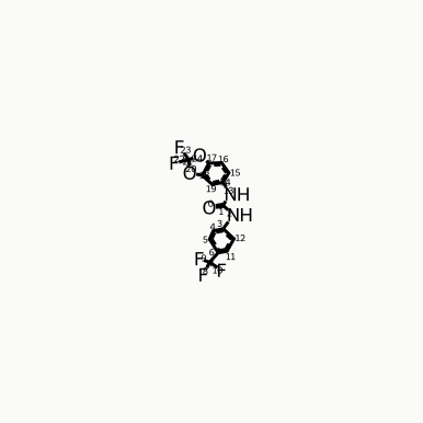 O=C(Nc1ccc(C(F)(F)F)cc1)Nc1ccc2c(c1)OC(F)(F)O2